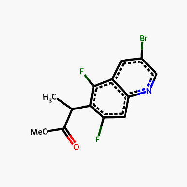 COC(=O)C(C)c1c(F)cc2ncc(Br)cc2c1F